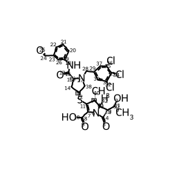 C[C@@H](O)[C@H]1C(=O)N2C(C(=O)O)=C(S[C@H]3C[C@@H](C(=O)Nc4cccc(C=O)c4)N(Cc4cc(Cl)c(Cl)c(Cl)c4)C3)[C@H](C)[C@H]12